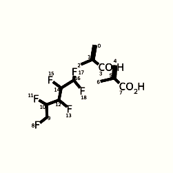 C=C(C)C(=O)O.C=C(C)C(=O)O.FCC(F)C(F)C(F)C(F)F